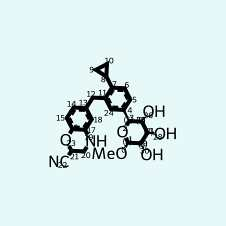 CO[C@H]1O[C@@H](c2ccc(C3CC3)c(Cc3ccc4c(c3)NCC(C#N)O4)c2)[C@H](O)[C@@H](O)[C@@H]1O